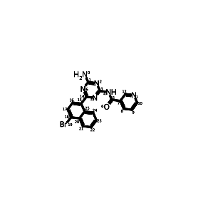 Nc1nc(NC(=O)c2cccnc2)nc(-c2ccc(Br)c3ccccc23)n1